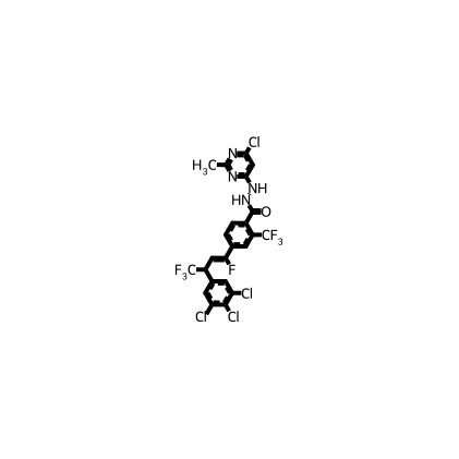 Cc1nc(Cl)cc(NNC(=O)c2ccc(C(F)=CC(c3cc(Cl)c(Cl)c(Cl)c3)C(F)(F)F)cc2C(F)(F)F)n1